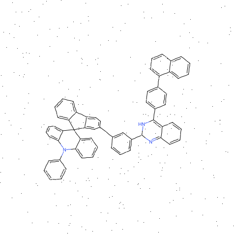 c1ccc(N2c3ccccc3C3(c4ccccc4-c4ccc(-c5cccc(C6N=c7ccccc7=C(c7ccc(-c8cccc9ccccc89)cc7)N6)c5)cc43)c3ccccc32)cc1